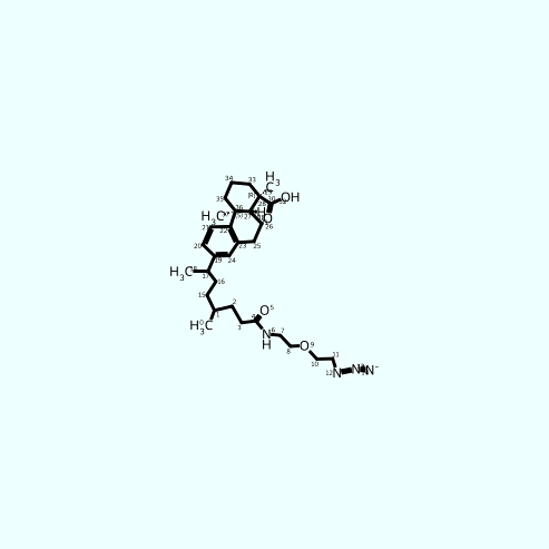 CC(CCC(=O)NCCOCCN=[N+]=[N-])CCC(C)c1ccc2c(c1)CC[C@H]1[C@](C)(C(=O)O)CCC[C@]21C